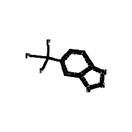 FC(F)(F)c1ccc2nnsc2c1